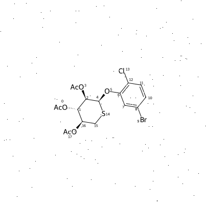 CC(=O)O[C@@H]1[C@@H](OC(C)=O)[C@@H](Oc2cc(Br)ccc2Cl)SC[C@H]1OC(C)=O